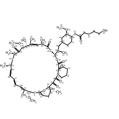 CO[C@H]1C[C@@H]2CC[C@@H](C)[C@@](O)(O2)C(=O)C(=O)N2CCCC[C@H]2C(=O)O[C@H]([C@H](C)C[C@@H]2CC[C@@H](OC(=O)CSCCO)[C@H](OC)C2)CC(=O)[C@H](C)/C=C(\C)[C@@H](O)[C@@H](OC)C(=O)[C@H](C)C[C@H](C)/C=C/C=C/C=C/1C